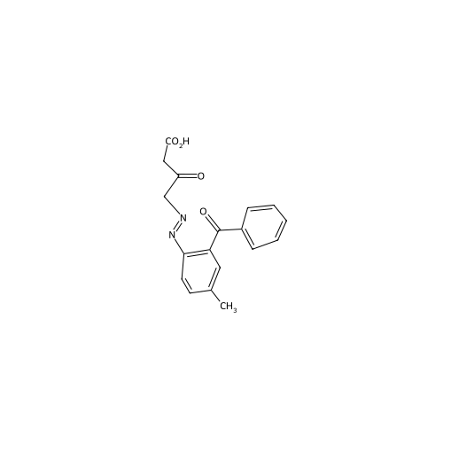 Cc1ccc(N=NCC(=O)CC(=O)O)c(C(=O)c2ccccc2)c1